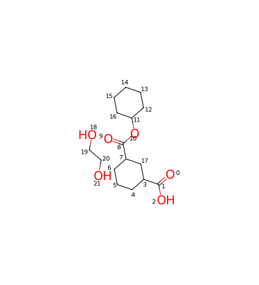 O=C(O)C1CCCC(C(=O)OC2CCCCC2)C1.OCCO